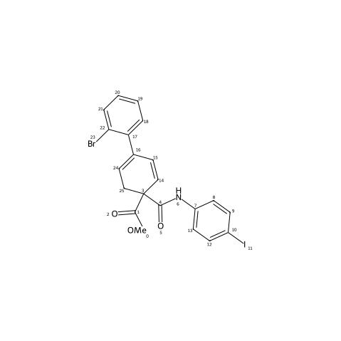 COC(=O)C1(C(=O)Nc2ccc(I)cc2)C=CC(c2ccccc2Br)=CC1